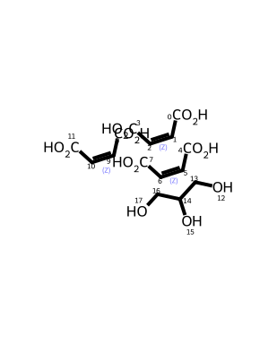 O=C(O)/C=C\C(=O)O.O=C(O)/C=C\C(=O)O.O=C(O)/C=C\C(=O)O.OCC(O)CO